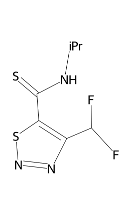 CC(C)NC(=S)c1snnc1C(F)F